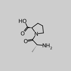 C[C@@H](N)C(=O)N1CCC[C@@H]1C(=O)O